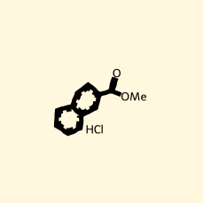 COC(=O)c1ccc2ccccc2c1.Cl